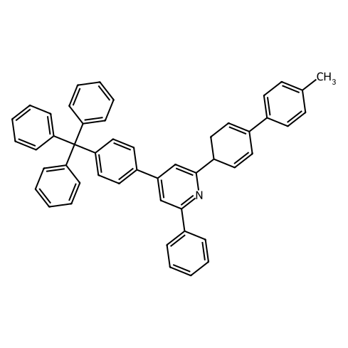 Cc1ccc(C2=CCC(c3cc(-c4ccc(C(c5ccccc5)(c5ccccc5)c5ccccc5)cc4)cc(-c4ccccc4)n3)C=C2)cc1